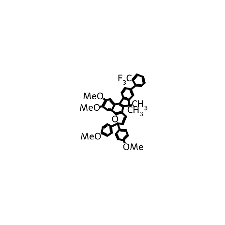 COc1ccc(C2(c3ccc(OC)cc3)C=Cc3c4c(c5cc(OC)c(OC)cc5c3O2)-c2ccc(-c3ccccc3C(F)(F)F)cc2C4(C)C)cc1